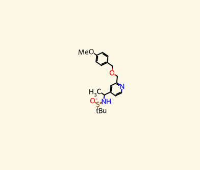 COc1ccc(COCc2cc(C(C)N[S+]([O-])C(C)(C)C)ccn2)cc1